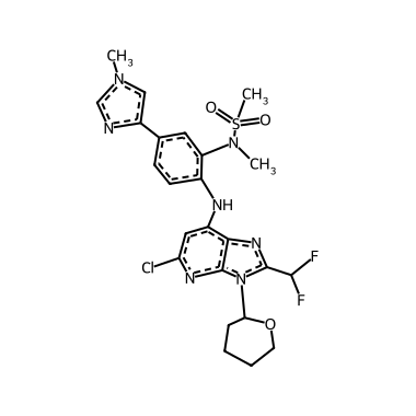 CN(c1cc(-c2cn(C)cn2)ccc1Nc1cc(Cl)nc2c1nc(C(F)F)n2C1CCCCO1)S(C)(=O)=O